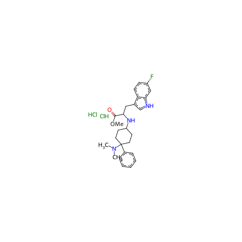 COC(=O)C(Cc1c[nH]c2cc(F)ccc12)NC1CCC(c2ccccc2)(N(C)C)CC1.Cl.Cl